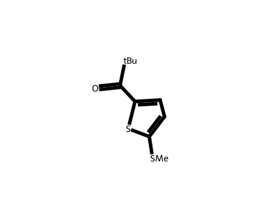 CSc1ccc(C(=O)C(C)(C)C)s1